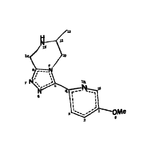 COc1ccc(-c2nnc3n2CC(C)NC3)nc1